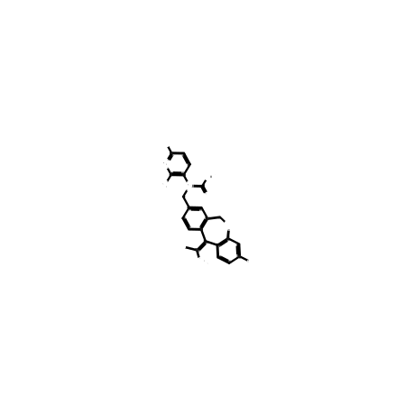 CCCC(=O)N(Cc1ccc2c(c1)COc1cc(F)ccc1/C2=C(/C)C#N)c1ccc(F)nc1[N+](=O)[O-]